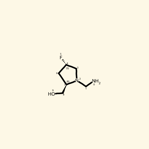 NCN1C[C@@H](F)C[C@@H]1CO